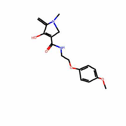 C=C1C(O)=C(C(=O)NCCOc2ccc(OC)cc2)CN1C